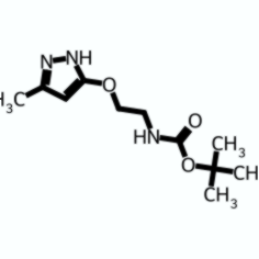 Cc1cc(OCCNC(=O)OC(C)(C)C)[nH]n1